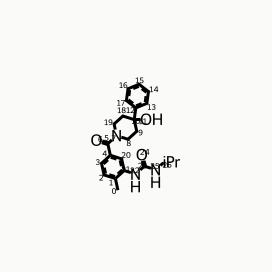 Cc1ccc(C(=O)N2CCC(O)(c3ccccc3)CC2)cc1NC(=O)NC(C)C